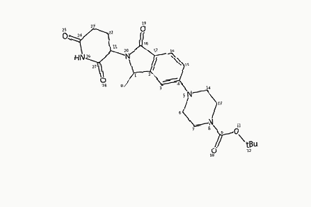 CC1c2cc(N3CCN(C(=O)OC(C)(C)C)CC3)ccc2C(=O)N1C1CCC(=O)NC1=O